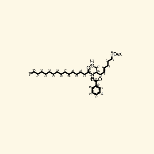 CCCCCCCCCCCCC/C=C/[C@@H](OC(=O)c1ccccc1)[C@H](CO)NC(=O)CCCCCCCCCCCCCCF